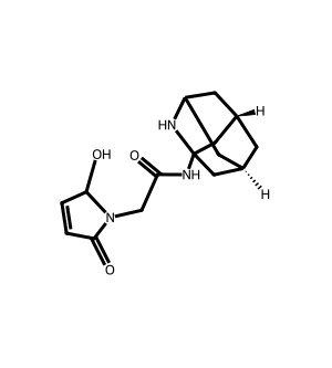 O=C(CN1C(=O)C=CC1O)NC12C[C@@H]3CC(C[C@@H](C3)C1)N2